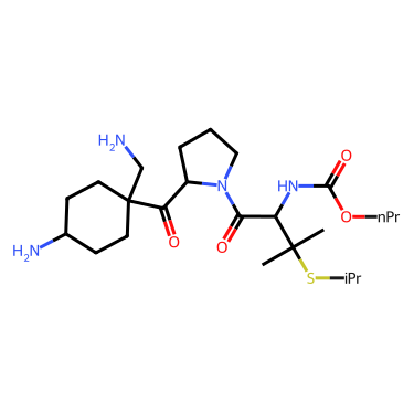 CCCOC(=O)NC(C(=O)N1CCCC1C(=O)C1(CN)CCC(N)CC1)C(C)(C)SC(C)C